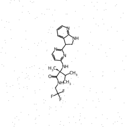 CC(C)[C@@](C)(Nc1ccnc(C2CNc3ncccc32)n1)C(=O)NCC(F)(F)F